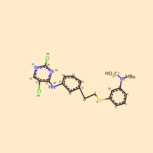 CC(C)(C)N(C(=O)O)c1cccc(SCCc2cccc(Nc3nc(Cl)ncc3Cl)c2)c1